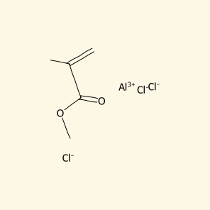 C=C(C)C(=O)OC.[Al+3].[Cl-].[Cl-].[Cl-]